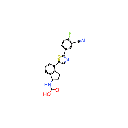 N#Cc1cc(-c2ncc(-c3cccc4c3CCC4NC(=O)O)s2)ccc1F